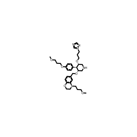 COCCCOc1ccc([C@@H]2[C@@H](OCc3ccc4c(c3)N(CCCOC)CCO4)CNC[C@H]2OCCCn2cncn2)cc1